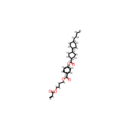 C=CC(=O)OCCCCOC(=O)c1ccc(OC(=O)C2CCC(C3CCC(CCCC)CC3)CC2)cc1